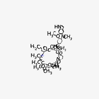 C=CCC1/C=C(\C)CC(C)CC(OC)C2OC(O)(C(=O)C(=O)N3CCCCC3C(=O)OC(C(C)=CC3CCC(N(C)c4ccc5[nH]ccc5c4)C(OCC)C3)C(C)C(O)CC1=O)C(C)CC2OC